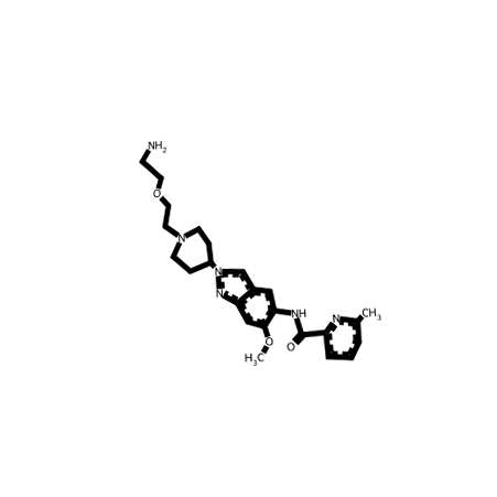 COc1cc2nn(C3CCN(CCOCCN)CC3)cc2cc1NC(=O)c1cccc(C)n1